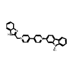 CCn1c2ccccc2c2ccc(-[n+]3ccc(-c4cc[n+](CC5=NC6CC=CC=C6N5)cc4)cc3)cc21